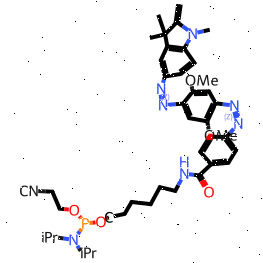 [C-]#[N+]CCOP(OCCCCCCNC(=O)c1ccc(/N=N\c2cc(OC)c(/N=N\c3ccc4c(c3)C(C)(C)C(=C)N4C)cc2OC)cc1)N(C(C)C)C(C)C